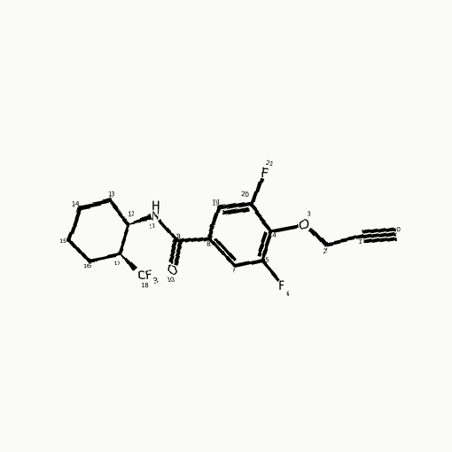 C#CCOc1c(F)cc(C(=O)N[C@@H]2CCCC[C@@H]2C(F)(F)F)cc1F